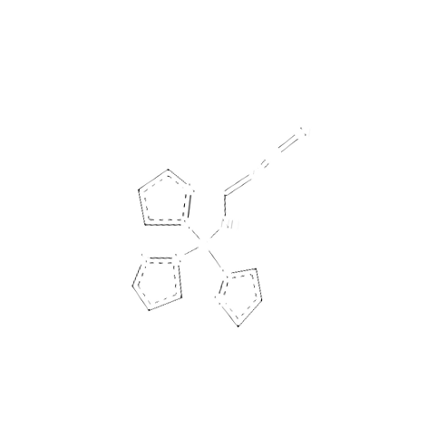 N=C=C=CN[B-](n1cccn1)(n1cccn1)n1cccn1